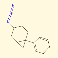 [N-]=[N+]=NC1CCC2(c3ccccc3)CC2C1